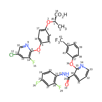 C[C@@H](Oc1ccc(Oc2ncc(Cl)cc2F)cc1)C(=O)O.O=C(Nc1ccc(F)cc1F)c1cccnc1Oc1cccc(C(F)(F)F)c1